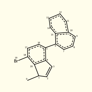 CC1C=Cc2c(-c3cccc4ccccc34)ccc(Br)c21